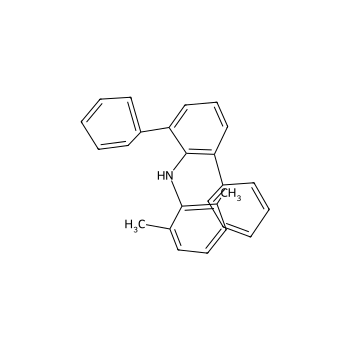 Cc1cccc(C)c1Nc1c(-c2ccccc2)cccc1-c1ccccc1